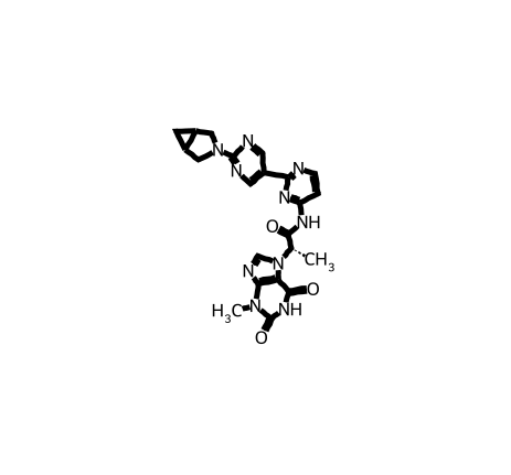 C[C@@H](C(=O)Nc1ccnc(-c2cnc(N3CC4CC4C3)nc2)n1)n1cnc2c1c(=O)[nH]c(=O)n2C